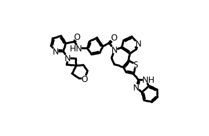 O=C(Nc1ccc(C(=O)N2CCc3cc(-c4nc5ccccc5[nH]4)sc3-c3cnccc32)cc1)c1cccnc1N1CC2(CCOCC2)C1